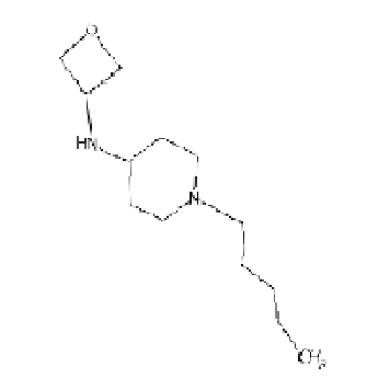 CCCCCN1CCC(NC2COC2)CC1